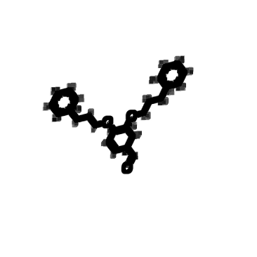 O=CC1C=CC(OCCCc2ccccc2)=C(OCCCc2ccccc2)C1